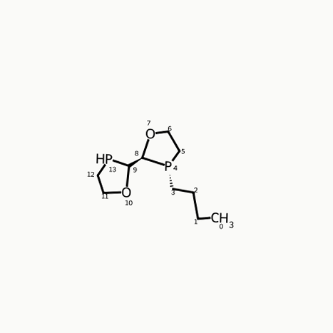 CCCC[P@@]1CCO[C@@H]1C1OCCP1